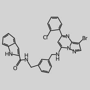 O=C(NCc1cccc(CNc2cc(-c3ccccc3Cl)nc3c(Br)cnn23)c1)c1cc2ccccc2[nH]1